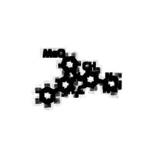 COc1ccc2c(c1)c1cc(-c3ccccc3)ccc1n2-c1c(C)cc(-c2ncncn2)cc1C